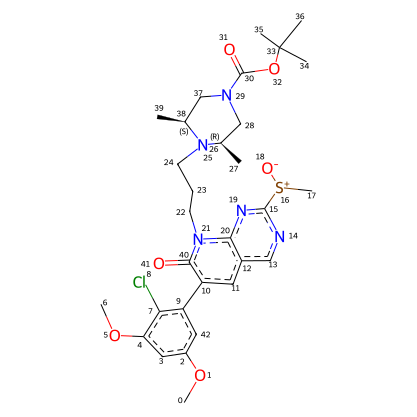 COc1cc(OC)c(Cl)c(-c2cc3cnc([S+](C)[O-])nc3n(CCCN3[C@H](C)CN(C(=O)OC(C)(C)C)C[C@@H]3C)c2=O)c1